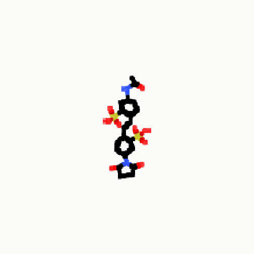 CC(=O)Nc1ccc(C=Cc2ccc(N3C(=O)C=CC3=O)cc2S(=O)(=O)O)c(S(=O)(=O)O)c1